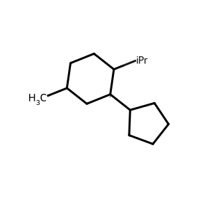 CC1CCC(C(C)C)[C](C2CCCC2)C1